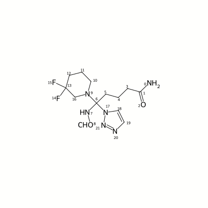 NC(=O)CCCC(NC=O)(N1CCCC(F)(F)C1)n1ccnn1